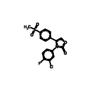 CS(=O)(=O)c1ccc(-c2coc(=O)n2-c2ccc(F)c(Cl)c2)cc1